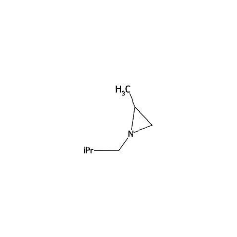 CC(C)CN1CC1C